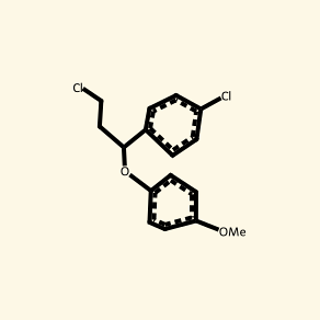 COc1ccc(OC(CCCl)c2ccc(Cl)cc2)cc1